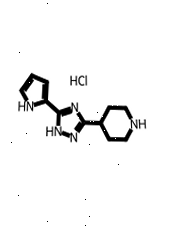 Cl.c1c[nH]c(-c2nc(C3CCNCC3)n[nH]2)c1